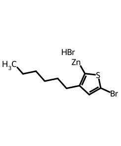 Br.CCCCCCc1cc(Br)s[c]1[Zn]